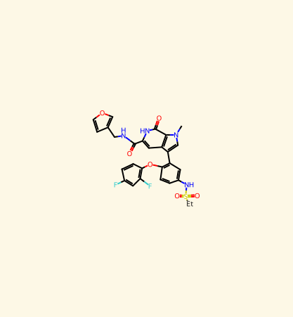 CCS(=O)(=O)Nc1ccc(Oc2ccc(F)cc2F)c(-c2cn(C)c3c(=O)[nH]c(C(=O)NCc4ccoc4)cc23)c1